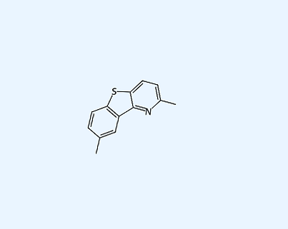 Cc1ccc2sc3ccc(C)nc3c2c1